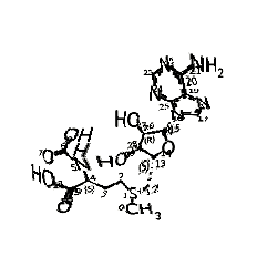 C[S+](CC[C@H](NC(=O)O)C(=O)O)C[C@H]1O[C@@H](n2cnc3c(N)ncnc32)[C@H](O)[C@@H]1O